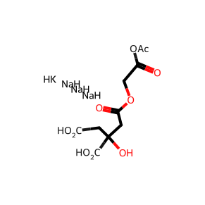 CC(=O)OC(=O)COC(=O)CC(O)(CC(=O)O)C(=O)O.[KH].[NaH].[NaH].[NaH]